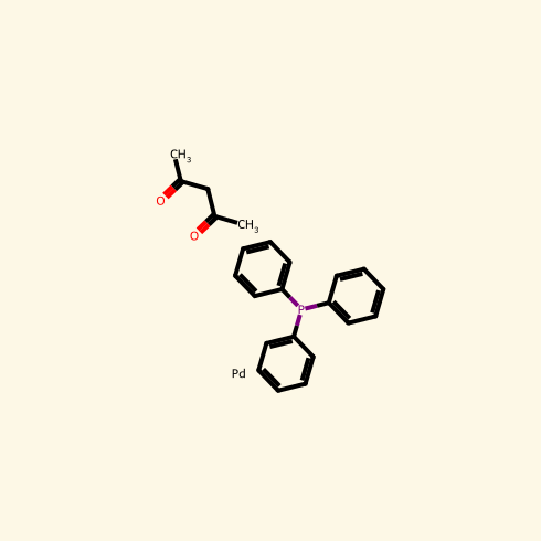 CC(=O)CC(C)=O.[Pd].c1ccc(P(c2ccccc2)c2ccccc2)cc1